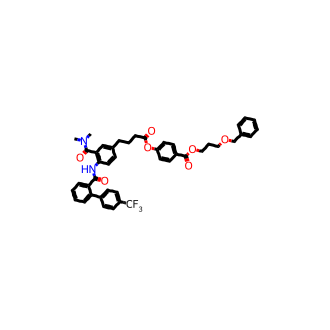 CN(C)C(=O)c1cc(CCCC(=O)Oc2ccc(C(=O)OCCCOCc3ccccc3)cc2)ccc1NC(=O)c1ccccc1-c1ccc(C(F)(F)F)cc1